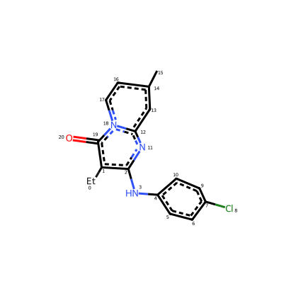 CCc1c(Nc2ccc(Cl)cc2)nc2cc(C)ccn2c1=O